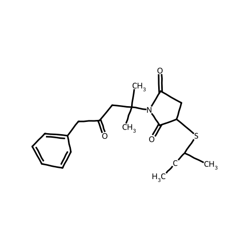 CCC(C)SC1CC(=O)N(C(C)(C)CC(=O)Cc2ccccc2)C1=O